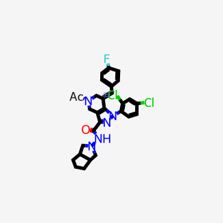 CC(=O)N1C/C(=C\c2ccc(F)cc2)c2c(c(C(=O)NN3CC4CCCC4C3)nn2-c2ccc(Cl)cc2Cl)C1